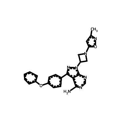 Cc1cc(N2[CH]C(n3nc(-c4ccc(Oc5ccccc5)cc4)c4c(N)ncnc43)C2)on1